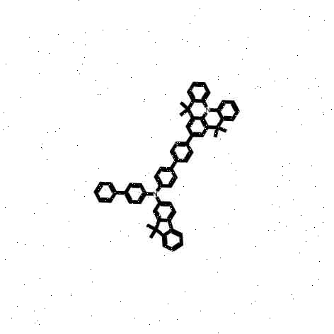 CC1(C)c2ccccc2-c2ccc(N(c3ccc(-c4ccccc4)cc3)c3ccc(-c4ccc(-c5cc6c7c(c5)C(C)(C)c5ccccc5N7c5ccccc5C6(C)C)cc4)cc3)cc21